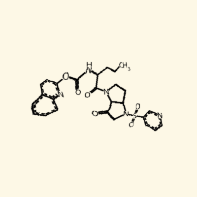 CCCC(NC(=O)Oc1ccc2ccccc2n1)C(=O)N1CCC2C1C(=O)CN2S(=O)(=O)c1cccnc1